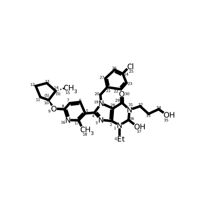 CCN1c2nc(-c3ccc(O[C@H]4CCC[C@@H]4C)nc3C)n(Cc3ccc(Cl)cc3)c2C(=O)N(CCCO)C1O